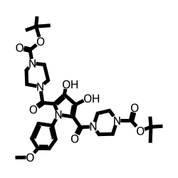 COc1ccc(-n2c(C(=O)N3CCN(C(=O)OC(C)(C)C)CC3)c(O)c(O)c2C(=O)N2CCN(C(=O)OC(C)(C)C)CC2)cc1